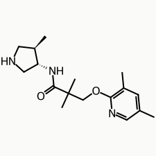 Cc1cnc(OCC(C)(C)C(=O)N[C@@H]2CNC[C@H]2C)c(C)c1